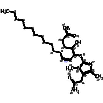 CCCCCCCCCCCC/C=C\C(Sc1nc(C)c(CC(N)=O)n1C)C(O)CCC(=O)O